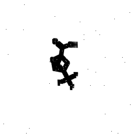 O=C(O)C12CC(C(F)(F)F)(CO1)C2